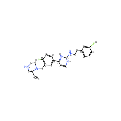 CC1CNCCN1Cc1cc(-c2ccnc(NCCc3cccc(F)c3)n2)ccc1F